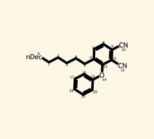 CCCCCCCCCCCCCCCc1ccc(C#N)c(C#N)c1Oc1ccccc1